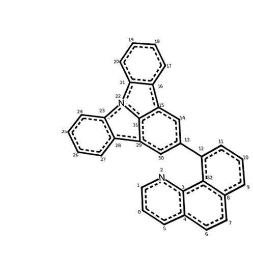 c1cnc2c(c1)ccc1cccc(-c3cc4c5ccccc5n5c6ccccc6c(c3)c45)c12